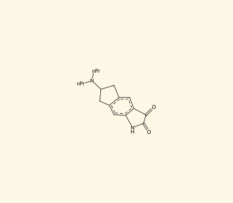 CCCN(CCC)C1Cc2cc3c(cc2C1)C(=O)C(=O)N3